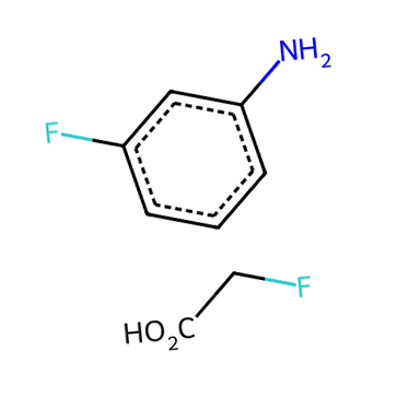 Nc1cccc(F)c1.O=C(O)CF